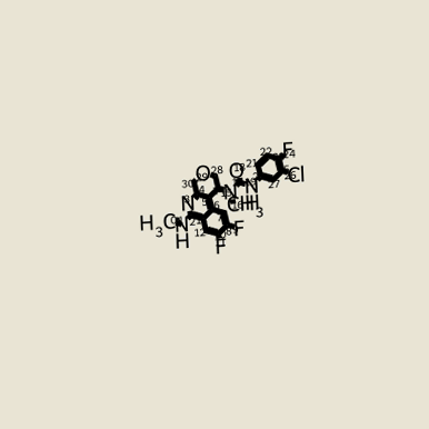 CNc1nc2c(c3cc(F)c(F)cc13)C(N(C)C(=O)Nc1ccc(F)c(Cl)c1)COC2